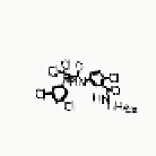 CCCCCCNC(=O)c1cc(NC(=O)[C@H]2[C@H](c3cc(Cl)cc(Cl)c3)C2(Cl)Cl)ccc1Cl